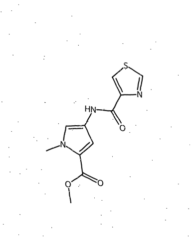 COC(=O)c1cc(NC(=O)c2cscn2)cn1C